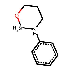 c1ccc([SiH]2CCCO[SiH2]2)cc1